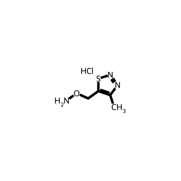 Cc1nnsc1CON.Cl